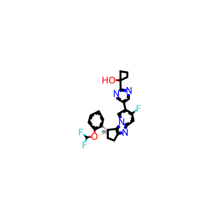 OC1(c2ncc(-c3cn4c5c(nc4cc3F)CC[C@@H]5c3ccccc3OC(F)F)cn2)CCC1